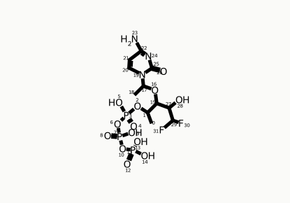 CC(OP(=O)(O)OP(=O)(O)OP(=O)(O)O)C(OC(C)n1ccc(N)nc1=O)C(O)C(F)F